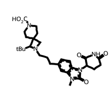 Cn1c(=O)n(C2CCC(=O)NC2=O)c2ccc(CCCN3CC4(CCN(C(=O)O)CC4)C3C(C)(C)C)cc21